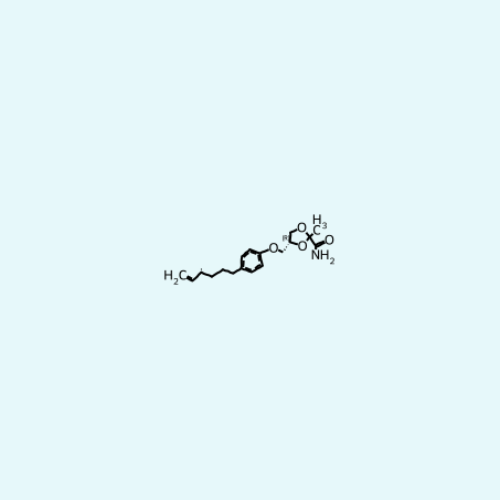 C=C[CH]CCCc1ccc(OC[C@@H]2COC(C)(C(N)=O)O2)cc1